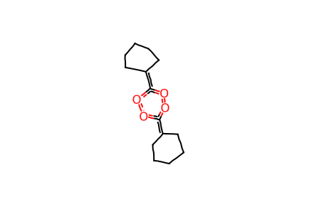 C1CCC(=c2ooc(=C3CCCCC3)oo2)CC1